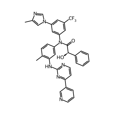 Cc1cn(-c2cc(N(C(=O)[C@H](O)c3ccccc3)c3ccc(C)c(Nc4nccc(-c5cccnc5)n4)c3)cc(C(F)(F)F)c2)cn1